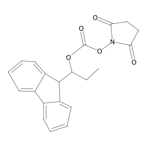 CCC(OC(=O)ON1C(=O)CCC1=O)C1c2ccccc2-c2ccccc21